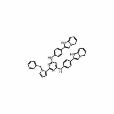 C1=CCN2C=C(c3ccc(Nc4nc(Nc5ccc(C6=CN7CC=CC=C7N6)cc5)nc(-c5cccn5Cc5ccccc5)n4)cc3)NC2=C1